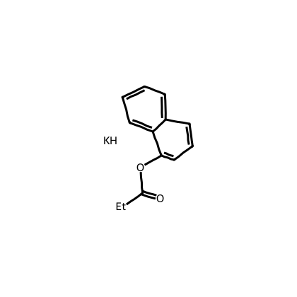 CCC(=O)Oc1cccc2ccccc12.[KH]